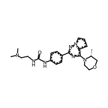 C[C@@H]1COCCN1c1nc(-c2ccc(NC(=O)NCCN(C)C)cc2)nn2cccc12